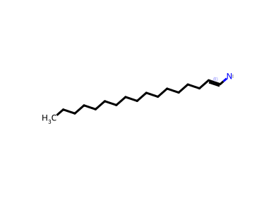 CCCCCCCCCCCCCCC/C=C/[N]